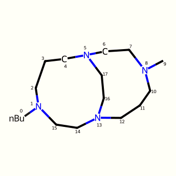 CCCCN1CCCN2CCN(C)CCCN(CC1)CC2